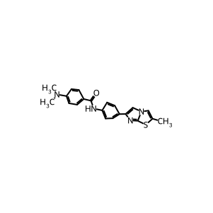 Cc1cn2cc(-c3ccc(NC(=O)c4ccc(N(C)C)cc4)cc3)nc2s1